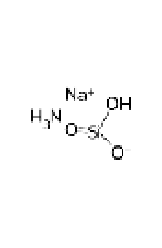 N.O=[Si]([O-])O.[Na+]